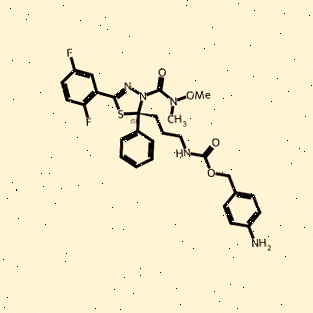 CON(C)C(=O)N1N=C(c2cc(F)ccc2F)S[C@@]1(CCCNC(=O)OCc1ccc(N)cc1)c1ccccc1